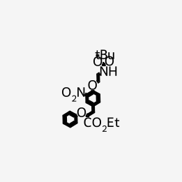 CCOC(=O)C(Cc1ccc(OCCNC(=O)OC(C)(C)C)c([N+](=O)[O-])c1)Oc1ccccc1